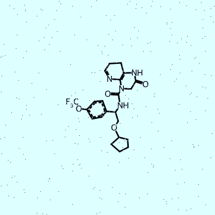 O=C1CN(C(=O)NC(COC2CCCC2)c2ccc(OC(F)(F)F)cc2)C2=C(CCC=N2)N1